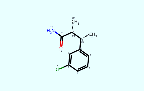 C[C@H](c1cccc(Cl)c1)[C@@H](C)C(N)=O